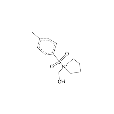 Cc1ccc(S(=O)(=O)[N+]2(CO)CCCC2)cc1